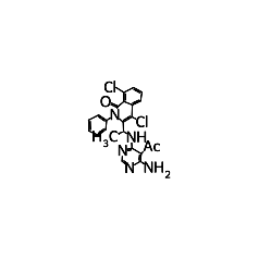 CC(=O)c1c(N)ncnc1N[C@@H](C)c1c(Cl)c2cccc(Cl)c2c(=O)n1-c1ccccc1